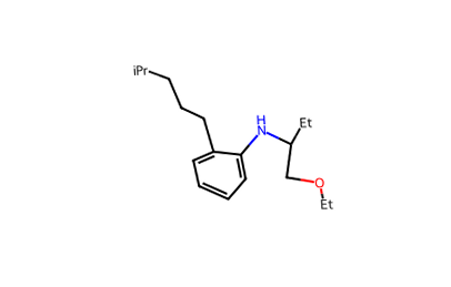 CCOCC(CC)Nc1ccccc1CCCC(C)C